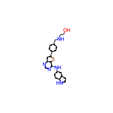 OCCNCc1ccc(-c2cc3ncnc(Nc4ccc5[nH]ccc5c4)c3s2)cc1